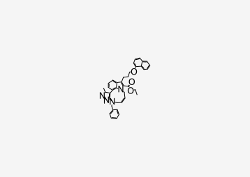 CCOC(=O)c1c(CCCOc2cccc3ccccc23)c2cccc3c2n1C/C=C\CN(Cc1ccccc1)c1c-3c(C)nn1C